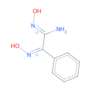 NC(=N\O)/C(=N\O)c1ccccc1